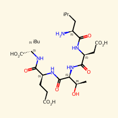 CC[C@H](C)[C@H](NC(=O)[C@H](CCC(=O)O)NC(=O)[C@@H](NC(=O)[C@H](CC(=O)O)NC(=O)[C@@H](N)CC(C)C)[C@@H](C)O)C(=O)O